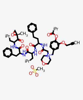 C#CCOc1cc(C[N+]2(CC(=O)NC(CCc3ccccc3)C(=O)NC(CC(C)C)C(=O)NC(Cc3ccccc3)C(=O)NC(CC(C)C)C(=O)[C@@]3(C)CO3)CCOCC2)ccc1OC(=O)C(C)C.CS(=O)(=O)[O-]